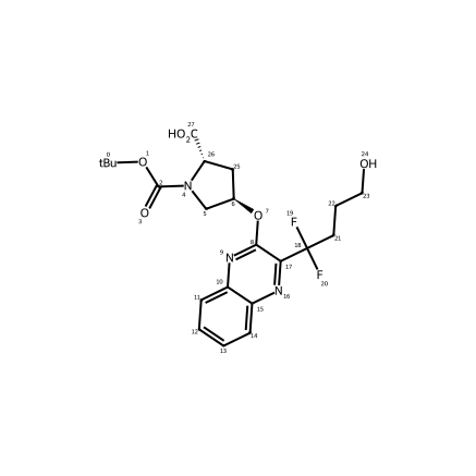 CC(C)(C)OC(=O)N1C[C@H](Oc2nc3ccccc3nc2C(F)(F)CCCO)C[C@H]1C(=O)O